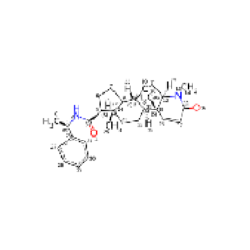 C[C@@H](NC(=O)[C@H]1CC[C@H]2[C@@H]3CC[C@H]4N(C)C(=O)C=C[C@]4(C)[C@H]3CC[C@]12C)c1ccccc1